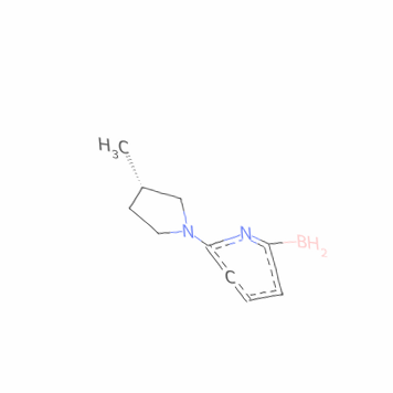 Bc1cccc(N2CC[C@H](C)C2)n1